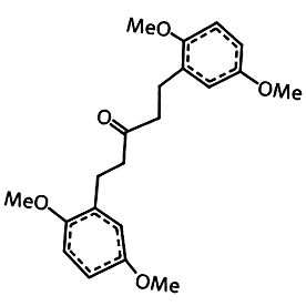 COc1ccc(OC)c(CCC(=O)CCc2cc(OC)ccc2OC)c1